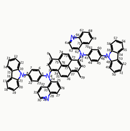 Cc1cc(N(c2ccc(-n3c4ccccc4c4ccccc43)cc2)c2cccc3ncccc23)c2ccc3c(C)cc(N(c4ccc(-n5c6ccccc6c6ccccc65)cc4)c4ccnc5ccccc45)c4ccc1c2c34